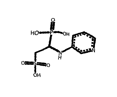 O=P(O)(O)C(CS(=O)(=O)O)Nc1cccnc1